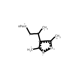 CCCCCCC(C)c1c(C)noc1C